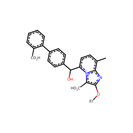 CCOc1nc2c(C)ccc(C(O)c3ccc(-c4ccccc4C(=O)O)cc3)n2c1C(=O)O